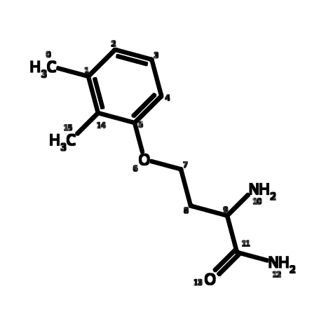 Cc1cccc(OCCC(N)C(N)=O)c1C